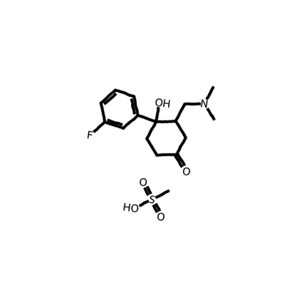 CN(C)CC1CC(=O)CCC1(O)c1cccc(F)c1.CS(=O)(=O)O